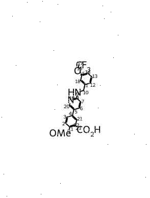 COc1ccc(-c2ccc(NCc3cccc(OC(F)(F)F)c3)nc2)cc1C(=O)O